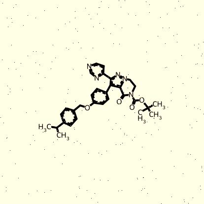 CC(C)c1ccc(COc2ccc(-c3c(-c4ccncn4)nn4c3C(=O)N(C(=O)OC(C)(C)C)CC4)cc2)cc1